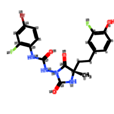 C[C@@]1(CCc2ccc(O)c(F)c2)NC(=O)N(NC(=O)Nc2ccc(Br)cc2F)C1=O